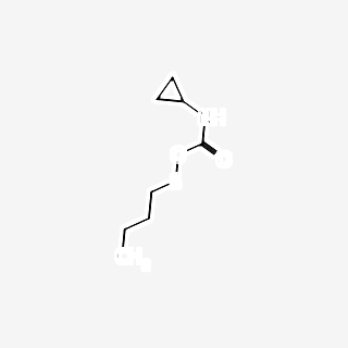 CCCCSOC(=O)NC1CC1